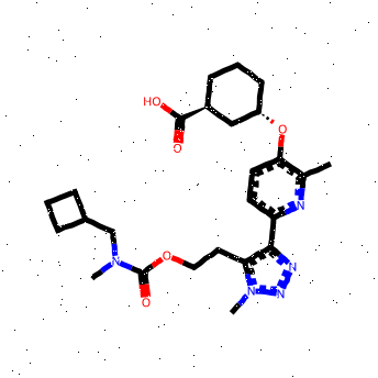 Cc1nc(-c2nnn(C)c2CCOC(=O)N(C)CC2CCC2)ccc1O[C@H]1CCC[C@H](C(=O)O)C1